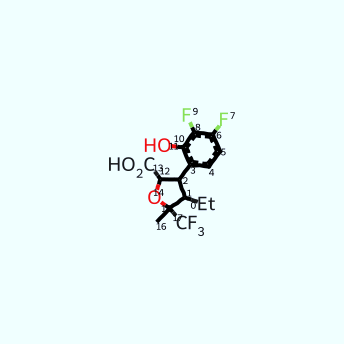 CCC1C(c2ccc(F)c(F)c2O)C(C(=O)O)OC1(C)C(F)(F)F